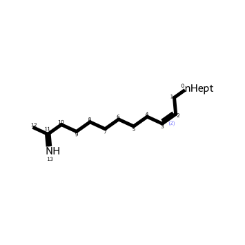 CCCCCCCC/C=C\CCCCCCCC(C)=N